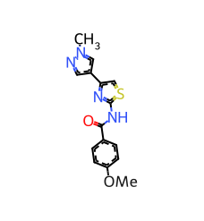 COc1ccc(C(=O)Nc2nc(-c3cnn(C)c3)cs2)cc1